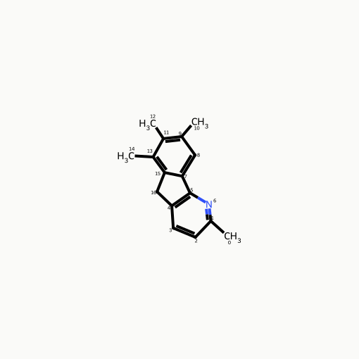 Cc1ccc2c(n1)-c1cc(C)c(C)c(C)c1C2